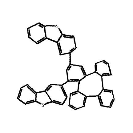 c1ccc2c(c1)-c1ccccc1-c1cc(-c3ccc4sc5ccccc5c4c3)cc(-c3ccc4sc5ccccc5c4c3)c1-c1ccccc1-2